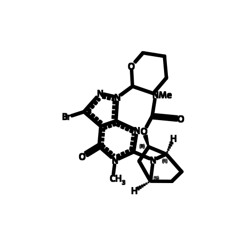 CNC(=O)O[C@@H]1C[C@@H]2CC[C@H]1N2c1nc2c(c(Br)nn2C2CCCCO2)c(=O)n1C